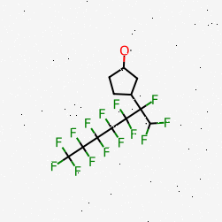 [O]C1CCC(C(F)([C](F)F)C(F)(F)C(F)(F)C(F)(F)C(F)(F)C(F)(F)F)C1